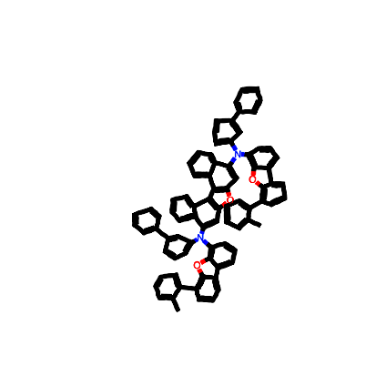 Cc1ccccc1-c1cccc2c1oc1c(N(c3cccc(-c4ccccc4)c3)c3cc4oc5cc(N(c6cccc(-c7ccccc7)c6)c6cccc7c6oc6c(-c8ccccc8C)cccc67)c6ccccc6c5c4c4ccccc34)cccc12